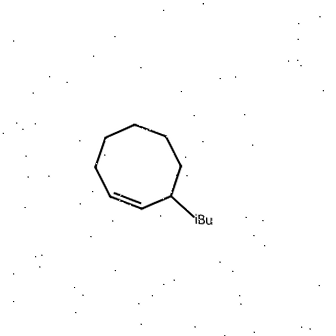 [CH2]CC(C)C1C=CCCCCC1